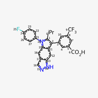 CC(C)c1c(-c2cc(C(=O)O)cc(C(F)(F)F)c2)c2cc3[nH]ncc3cc2n1-c1ccc(F)cc1